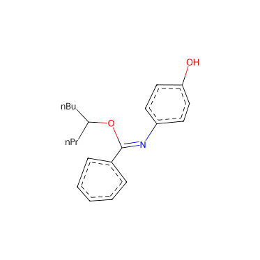 CCCCC(CCC)OC(=Nc1ccc(O)cc1)c1ccccc1